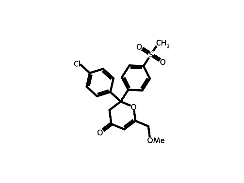 COCC1=CC(=O)CC(c2ccc(Cl)cc2)(c2ccc(S(C)(=O)=O)cc2)O1